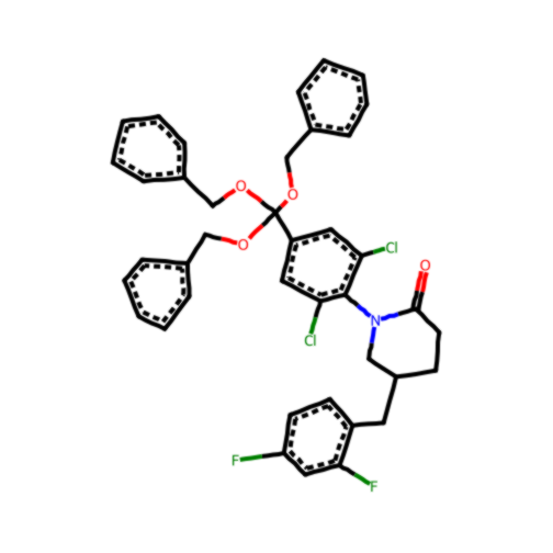 O=C1CCC(Cc2ccc(F)cc2F)CN1c1c(Cl)cc(C(OCc2ccccc2)(OCc2ccccc2)OCc2ccccc2)cc1Cl